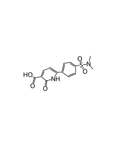 CN(C)S(=O)(=O)c1ccc(-c2ccc(C(=O)O)c(=O)[nH]2)cc1